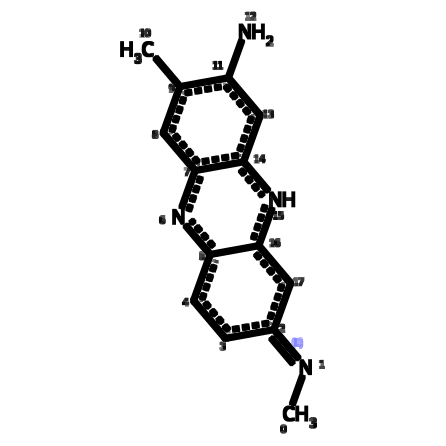 C/N=c1\ccc2nc3cc(C)c(N)cc3[nH]c-2c1